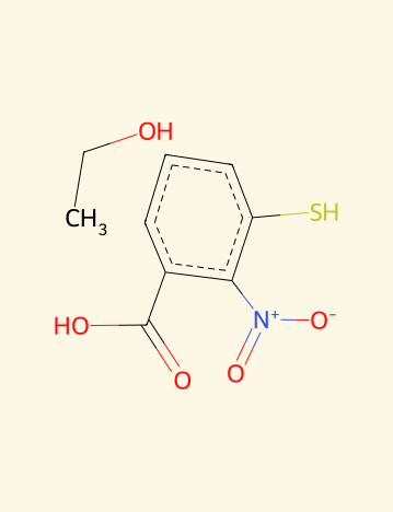 CCO.O=C(O)c1cccc(S)c1[N+](=O)[O-]